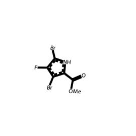 COC(=O)c1[nH]c(Br)c(F)c1Br